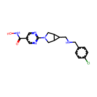 O=C(NO)c1cnc(N2CC3C(CNCc4ccc(Cl)cc4)C3C2)nc1